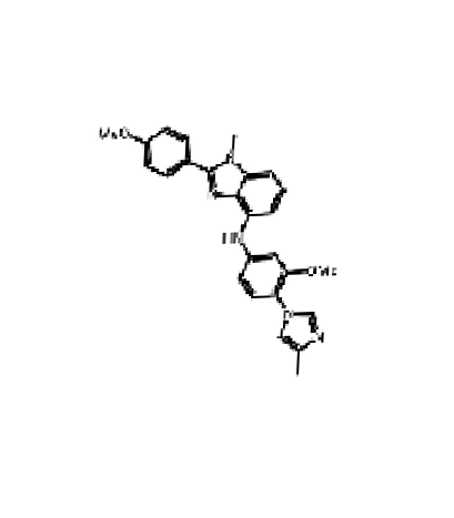 COc1ccc(-c2nc3c(Nc4ccc(-n5cnc(C)c5)c(OC)c4)cccc3n2C)cc1